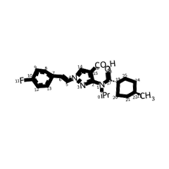 CC(C)N(c1nn(/C=C/c2ccc(F)cc2)cc1C(=O)O)C(=O)[C@H]1CC[C@H](C)CC1